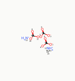 O=C([O-])[O-].O=C([O-])[O-].O=C([O-])[O-].[NH4+].[NH4+].[Ti+4]